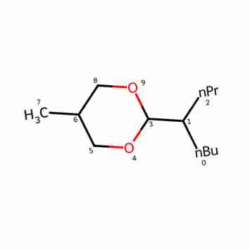 CCCCC(CCC)C1OCC(C)CO1